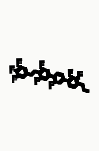 CCCc1ccc(-c2ccc(-c3cc(F)c(CCc4cc(F)c(F)c(F)c4)c(F)c3)c(F)c2)c(F)c1F